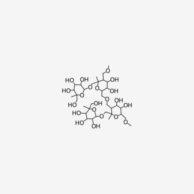 COCC1OC(C)(COC2OC(C)(CO)C(O)C(O)C2O)C(COCC2OC(C)(COC3OC(C)(CO)C(O)C(O)C3O)C(COC)C(O)C2O)C(O)C1O